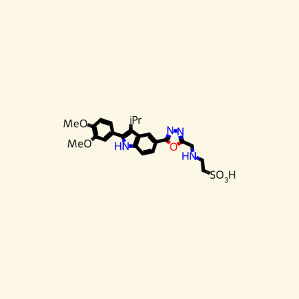 COc1ccc(-c2[nH]c3ccc(-c4nnc(CNCCS(=O)(=O)O)o4)cc3c2C(C)C)cc1OC